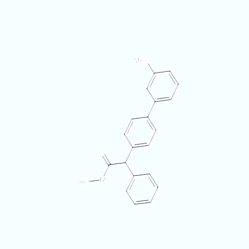 CSc1cccc(-c2ccc(C(C(=O)NO)c3ccccc3)cc2)c1